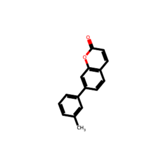 Cc1cccc(-c2ccc3ccc(=O)oc3c2)c1